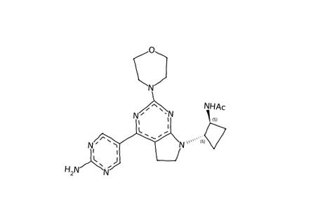 CC(=O)N[C@H]1CC[C@@H]1N1CCc2c(-c3cnc(N)nc3)nc(N3CCOCC3)nc21